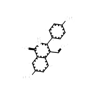 Cc1ccc(-c2[nH]c(=O)c3cc(C)ccc3c2C=O)cc1